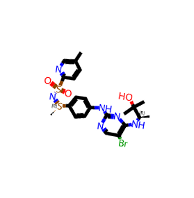 Cc1ccc(S(=O)(=O)N=[S@@](C)c2ccc(Nc3ncc(Br)c(N[C@H](C)C(C)(C)O)n3)cc2)nc1